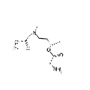 CC(C)OC(=O)CN(C)CCC(C)OC(=O)CN